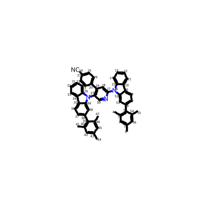 Cc1cc(C)c(-c2ccc3c4ccccc4n(-c4cc(-c5ccc(C#N)cc5)c(-n5c6ccccc6c6ccc(-c7c(C)cc(C)cc7C)cc65)cn4)c3c2)c(C)c1